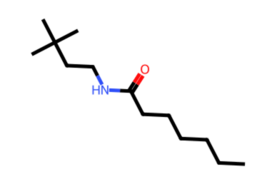 CCCCCCC(=O)NCCC(C)(C)C